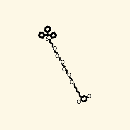 O=C1C=CC(=O)C(CCCCCCOCCOCCOCCOCCOCCOCCCCSC(c2ccccc2)(c2ccccc2)c2ccccc2)=C1